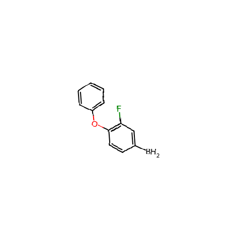 Bc1ccc(Oc2ccccc2)c(F)c1